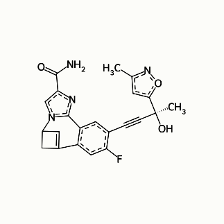 Cc1cc([C@@](C)(O)C#Cc2cc3c(cc2F)C2=CC(C2)n2cc(C(N)=O)nc2-3)on1